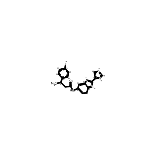 CC(CC(=O)NC1=CCC2=NC(c3cscn3)=NC2=C1)c1ccc(F)cc1